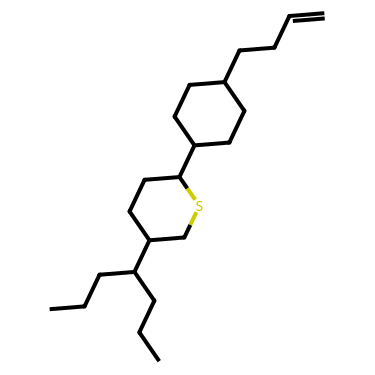 C=CCCC1CCC(C2CCC(C(CCC)CCC)CS2)CC1